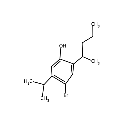 CCCC(C)c1cc(Br)c(C(C)C)cc1O